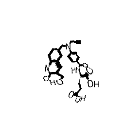 C#CCN(Cc1ccc2nc(Cl)c(CO)cc2c1)c1ccc(C(=O)N[C@@H](CCC(=O)O)C(=O)O)cc1